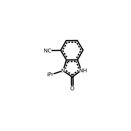 CC(C)n1c(=O)[nH]c2cccc(C#N)c21